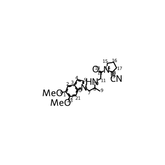 COc1cc2ccn(CC(C)NCC(=O)N3CCC[C@H]3C#N)c2cc1OC